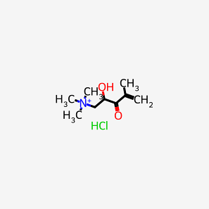 C=C(C)C(=O)C(O)C[N+](C)(C)C.Cl